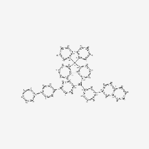 c1ccc(-c2ccc(-c3ccc(N(c4cccc(-c5ccc6ccccc6c5)c4)c4cccc5c4-c4ccccc4C5(c4ccccc4)c4ccccc4)cc3)cc2)cc1